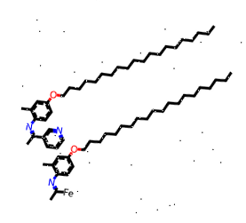 CCCCCCCCCCCCCCCCCCCCOc1ccc(N=C(C)c2cccnc2)c(C)c1.CCCCCCCCCCCCCCCCCCCCOc1ccc(N=[C](C)[Fe])c(C)c1